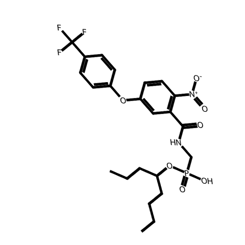 CCCCC(CCC)OP(=O)(O)CNC(=O)c1cc(Oc2ccc(C(F)(F)F)cc2)ccc1[N+](=O)[O-]